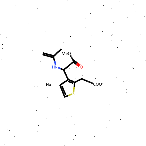 C=C(C)NC(C(=O)OC)c1ccsc1CC(=O)[O-].[Na+]